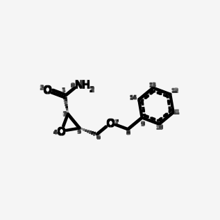 NC(=O)[C@H]1O[C@H]1COCc1ccccc1